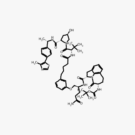 Cc1ncsc1-c1ccc([C@H](C)NC(=O)[C@@H]2C[C@@H](O)CN2C(=O)[C@@H](NC(=O)CCCCc2cccc(OC[C@H](CCC(N)=O)NC(=O)[C@@H]3Cc4cccc5c4N3C(=O)[C@@H](NC(=O)OC(C)(C)C)CC5)c2)C(C)(C)C)cc1